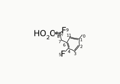 Cc1ccc(F)c(C[C@H](F)C(=O)O)c1